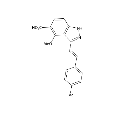 COc1c(C(=O)O)ccc2[nH]nc(C=Cc3ccc(C(C)=O)cc3)c12